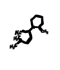 C=C(C)/C=C\C(=C/C)N1CCCCC1=C